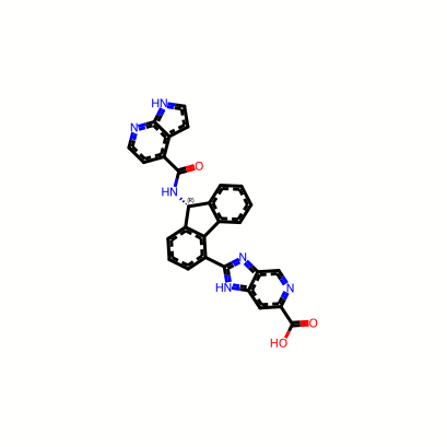 O=C(O)c1cc2[nH]c(-c3cccc4c3-c3ccccc3[C@H]4NC(=O)c3ccnc4[nH]ccc34)nc2cn1